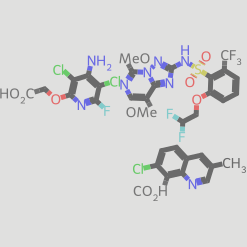 COc1cnc(OC)n2nc(NS(=O)(=O)c3c(OCC(F)F)cccc3C(F)(F)F)nc12.Cc1cnc2c(C(=O)O)c(Cl)ccc2c1.Nc1c(Cl)c(F)nc(OCC(=O)O)c1Cl